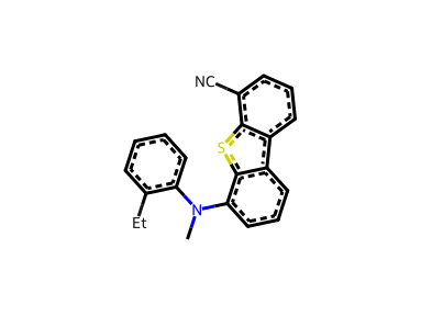 CCc1ccccc1N(C)c1cccc2c1sc1c(C#N)cccc12